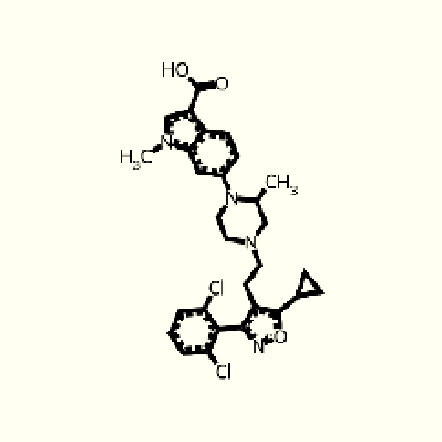 CC1CN(CCc2c(-c3c(Cl)cccc3Cl)noc2C2CC2)CCN1c1ccc2c(C(=O)O)cn(C)c2c1